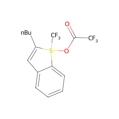 CCCCC1=Cc2ccccc2S1(OC(=O)C(F)(F)F)C(F)(F)F